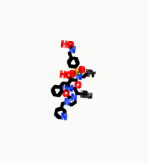 CCC(C)C(C(=O)N[C@@H](Cc1ccccc1)[C@H](O)CN(CC(C)C)S(=O)(=O)c1ccc(C=NO)cc1)N1CCN(Cc2cccnc2)C1=O